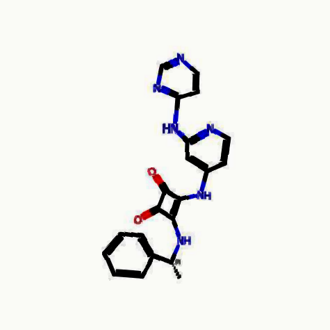 C[C@@H](Nc1c(Nc2ccnc(Nc3ccncn3)c2)c(=O)c1=O)c1ccccc1